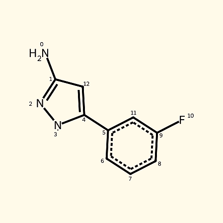 NC1=N[N]C(c2cccc(F)c2)=C1